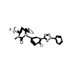 Cn1c(C(F)(F)F)cc(=O)n(-c2ccc(Cl)c(-c3nnn(-c4ccccc4)n3)c2)c1=O